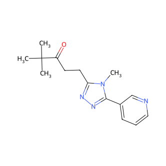 Cn1c(CCC(=O)C(C)(C)C)nnc1-c1cccnc1